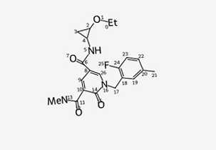 CCOC1CC1NC(=O)c1cc(C(=O)NC)c(=O)n(Cc2cc(C)ccc2F)c1